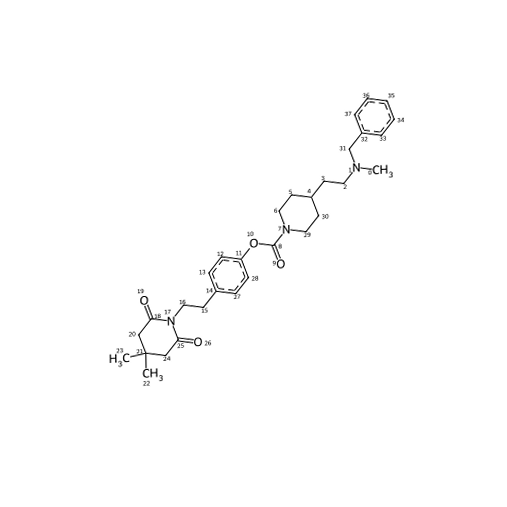 CN(CCC1CCN(C(=O)Oc2ccc(CCN3C(=O)CC(C)(C)CC3=O)cc2)CC1)Cc1ccccc1